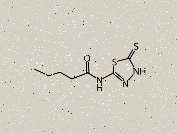 [CH2]CC[CH]C(=O)Nc1n[nH]c(=S)s1